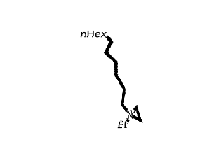 [CH2]C[N+]1(CCCCCCCCCCCC)CC1